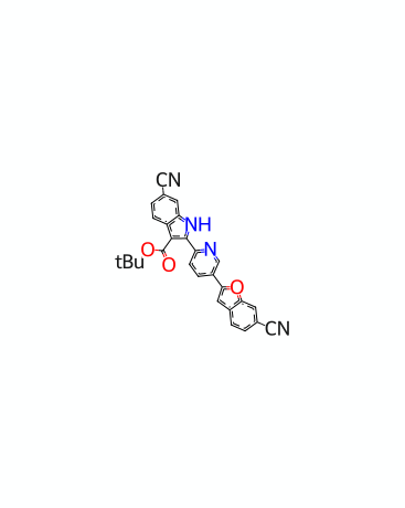 CC(C)(C)OC(=O)c1c(-c2ccc(-c3cc4ccc(C#N)cc4o3)cn2)[nH]c2cc(C#N)ccc12